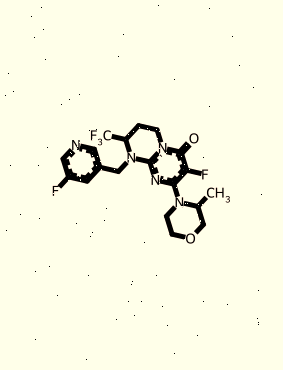 CC1COCCN1c1nc2n(c(=O)c1F)CCC(C(F)(F)F)N2Cc1cncc(F)c1